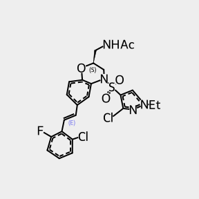 CCn1cc(S(=O)(=O)N2C[C@H](CNC(C)=O)Oc3ccc(/C=C/c4c(F)cccc4Cl)cc32)c(Cl)n1